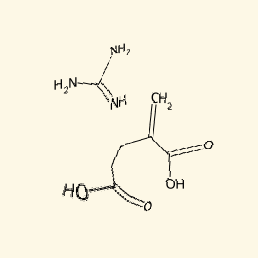 C=C(CC(=O)O)C(=O)O.N=C(N)N